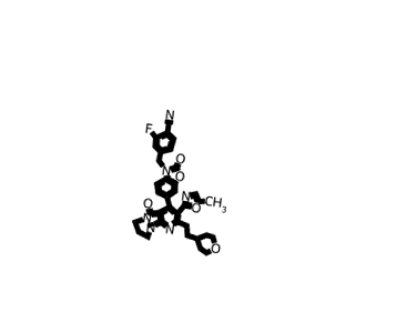 Cc1cnc(-c2c(CCC3CCOCC3)nc3c(c2-c2ccc4c(c2)oc(=O)n4Cc2ccc(C#N)c(F)c2)c(=O)n2n3CCC2)o1